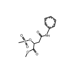 COC(=O)C(CC(=O)Nc1ccccc1)OS(C)(=O)=O